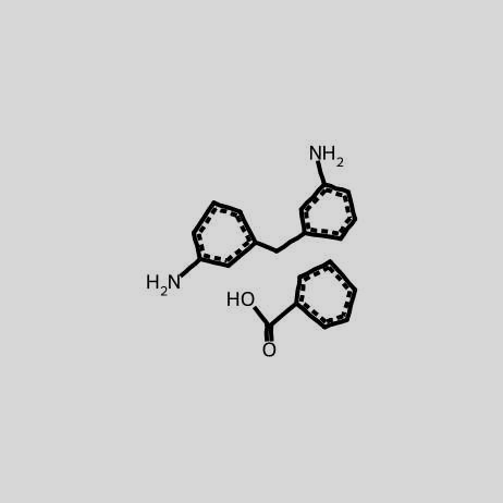 Nc1cccc(Cc2cccc(N)c2)c1.O=C(O)c1ccccc1